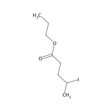 CCCOC(=O)CCC(C)I